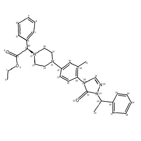 CCOC(=O)[C@@H](c1ccccc1)N1CCN(c2ccc(-n3cnn(C(C)c4ccccc4)c3=O)c(C)c2)CC1